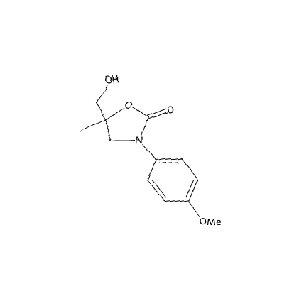 COc1ccc(N2CC(C)(CO)OC2=O)cc1